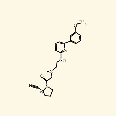 COc1cccc(-c2cccc(NCCNCC(=O)N3CCC[C@H]3C#N)n2)c1